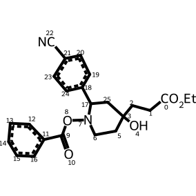 CCOC(=O)CCC1(O)CCN(OC(=O)c2ccccc2)C(c2ccc(C#N)cc2)C1